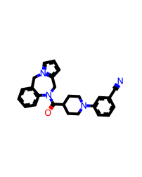 N#Cc1cccc(N2CCC(C(=O)N3Cc4cccn4Cc4ccccc43)CC2)c1